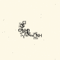 O=C(Nc1cccc2c1C(=O)N(CCC1CCNCC1)C2)c1ccc(Cl)s1